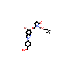 C[Si](C)(C)CCOCN1C(=O)CCC1COc1cc2nn(C3CCC(CO)CC3)cc2cc1Br